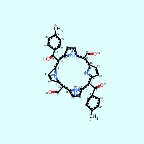 Cc1ccc(C(=O)c2c3nc(c(C=O)c4ccc([nH]4)c(C(=O)c4ccc(C)cc4)c4nc(c(C=O)c5ccc2[nH]5)C=C4)C=C3)cc1